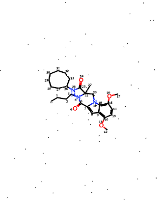 CCCCN1C(=O)c2cc3c(OC)ccc(OC)c3n2CC1(C)C(=O)NC1CCCCCCC1